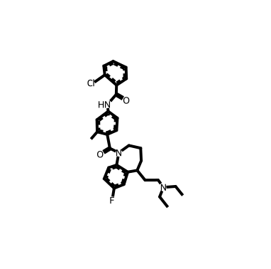 CCN(CC)CCC1CCCN(C(=O)c2ccc(NC(=O)c3ccccc3Cl)cc2C)c2ccc(F)cc21